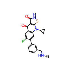 CCNCc1cccc(-c2cc3c(cc2F)c(=O)c2c(=O)[nH]sc2n3C2CC2)c1